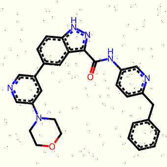 O=C(Nc1ccc(Cc2ccccc2)nc1)c1n[nH]c2ccc(-c3cncc(N4CCOCC4)c3)cc12